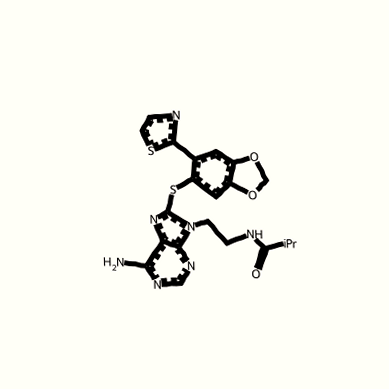 CC(C)C(=O)NCCn1c(Sc2cc3c(cc2-c2nccs2)OCO3)nc2c(N)ncnc21